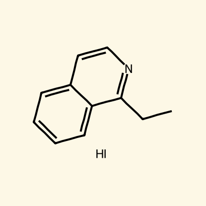 CCc1nccc2ccccc12.I